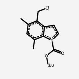 Cc1cc(C)c2c(ccn2C(=O)OC(C)(C)C)c1CCl